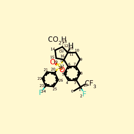 CC(F)(c1ccc2c(c1)CC[C@H]1[C@@H](C(=O)O)CC[C@@]21S(=O)(=O)c1ccc(F)cc1)C(F)(F)F